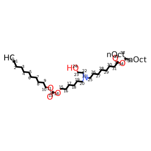 C#CCCCCCCCCCOC(=O)OCCCCCCN(CCO)CCCCCCCC(=O)OC(CCCCCCCC)CCCCCCCC